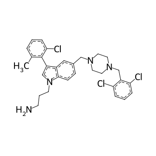 Cc1cccc(Cl)c1-c1cn(CCCN)c2ccc(CN3CCN(Cc4c(Cl)cccc4Cl)CC3)cc12